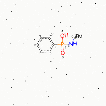 CCC(C)NP(=O)(O)c1ccccc1